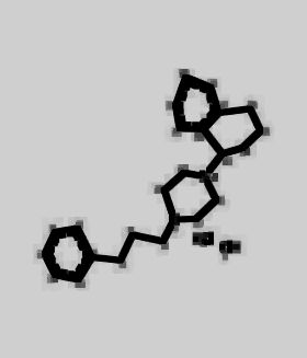 Cl.Cl.c1ccc(CCCN2CCN(C3CCCc4ccccc43)CC2)cc1